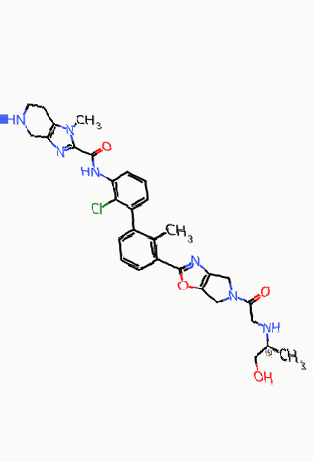 Cc1c(-c2nc3c(o2)CN(C(=O)CN[C@@H](C)CO)C3)cccc1-c1cccc(NC(=O)c2nc3c(n2C)CCNC3)c1Cl